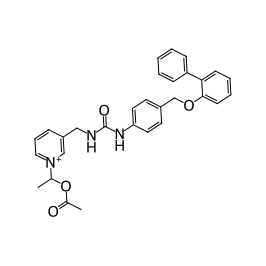 CC(=O)OC(C)[n+]1cccc(CNC(=O)Nc2ccc(COc3ccccc3-c3ccccc3)cc2)c1